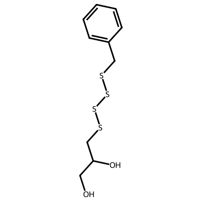 OCC(O)CSSSSCc1ccccc1